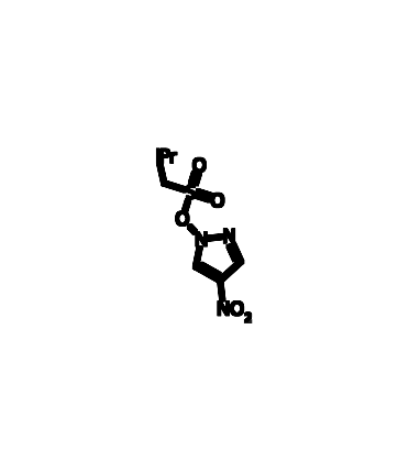 CC(C)CS(=O)(=O)On1cc([N+](=O)[O-])cn1